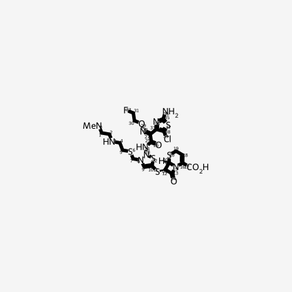 CNCCNCCSCN1C=C(S[C@@H]2C(=O)N3C(C(=O)O)=CCS[C@@H]23)SN1NC(=O)C(=NOCCF)c1nc(N)sc1Cl